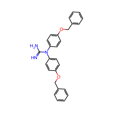 N=C(N)N(c1ccc(OCc2ccccc2)cc1)c1ccc(OCc2ccccc2)cc1